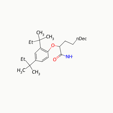 CCCCCCCCCCCCC(Oc1ccc(C(C)(C)CC)cc1C(C)(C)CC)C([NH])=O